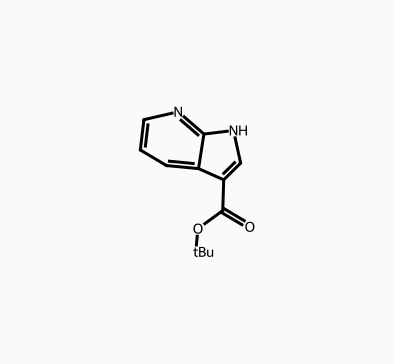 CC(C)(C)OC(=O)c1c[nH]c2ncccc12